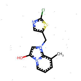 Cc1ccc[n+]2c(O)cn(Cc3cnc(Cl)s3)c12